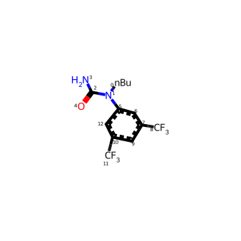 CCCCN(C(N)=O)c1cc(C(F)(F)F)cc(C(F)(F)F)c1